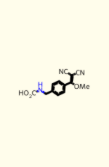 COC(=C(C#N)C#N)c1ccc(CNC(=O)O)cc1